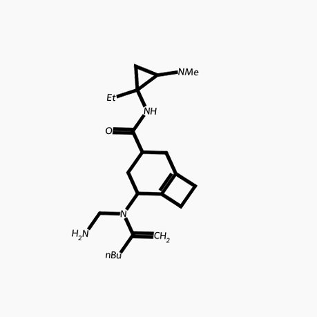 C=C(CCCC)N(CN)C1CC(C(=O)NC2(CC)CC2NC)CC2=C1CC2